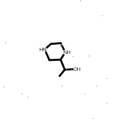 CC(O)C1CNCCN1